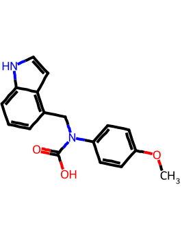 COc1ccc(N(Cc2cccc3[nH]ccc23)C(=O)O)cc1